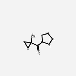 N#CC1(C(=O)C2CCCC2)CC1